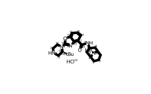 CN1C2CCCC1CC(NC(=O)c1cccc3oc(N4CCNC[C@@H]4C(C)(C)C)nc13)C2.Cl